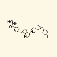 O=C(NO)c1ccc(Cn2ccc3c(N4CCC5(CCN(CC6=CC[C@@H](I)C=C6)C5)CC4)ccnc32)cc1